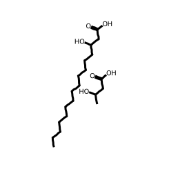 CC(O)CC(=O)O.CCCCCCCCCCCCCC(O)CC(=O)O